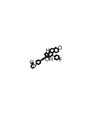 C[C@]12C[C@H](c3ccc(F)cc3)C3=C4CCC(=O)C=C4CC[C@H]3[C@@H]1CC[C@@]2(O)C#Cc1ccc(N2CCCC2=O)cc1